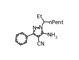 CCCCCC(CC)n1nc(-c2ccccc2)c(C#N)c1N